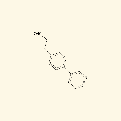 O=CCCc1ccc(-c2cccnc2)cc1